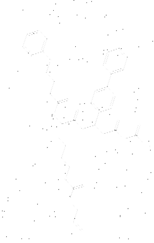 C=CCOC(=O)NCCCC[C@H](NC(=O)CCCNc1ccccn1)C(=O)NC(CC(=O)OC(=O)C(F)(F)F)c1ccc(-c2ccccc2)cc1